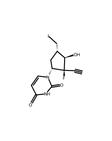 C#C[C@@]1(F)[C@H](O)[C@@H](CI)C[C@H]1n1ccc(=O)[nH]c1=O